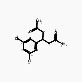 NC(=O)CC(CC(N)=O)c1cc(Cl)cc(Cl)c1